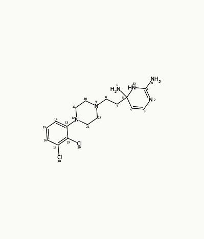 NC1=NC=CC(N)(CCN2CCN(c3cccc(Cl)c3Cl)CC2)N1